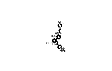 Cc1c(NC(=O)CCN2CCN(C)CC2)cccc1-c1ccc(C=O)c2c1CC(C1=CCN(S(C)(=O)=O)CC1)N2